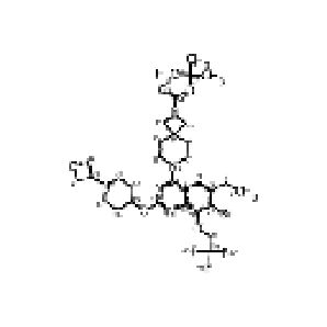 CCc1cc2c(N3CCC4(CC3)CN(C(=O)OC(C)(C)C)C4)nc(OC3CCN(C4COC4)CC3)nc2c(OCC(F)(F)F)c1Br